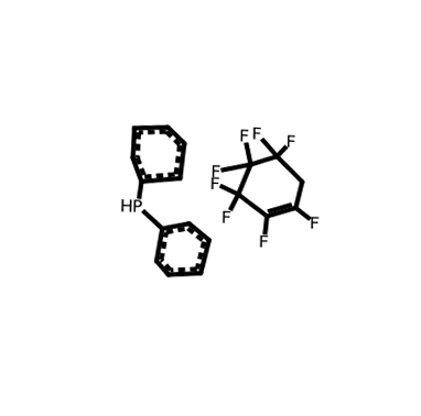 FC1=C(F)C(F)(F)C(F)(F)C(F)(F)C1.c1ccc(Pc2ccccc2)cc1